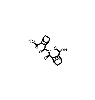 O=C(O)C1C2CCC(O2)C1C(=O)OC(=O)C1C2CCC(O2)C1C(=O)O